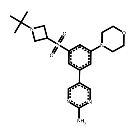 CC(C)(C)N1CC(S(=O)(=O)c2cc(-c3cnc(N)nc3)cc(N3CCOCC3)c2)C1